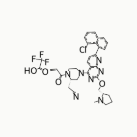 C=CC(=O)N1CCN(c2nc(OC[C@@H]3CCCN3C)nc3nc(-c4cccc5cccc(Cl)c45)ccc23)C[C@@H]1CC#N.O=C(O)C(F)(F)F